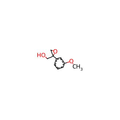 COc1cccc(C2(CO)CO2)c1